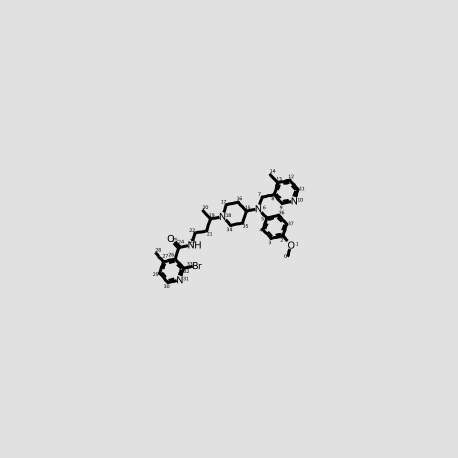 COc1ccc(N(Cc2cnccc2C)C2CCN(C(C)CCNC(=O)c3c(C)ccnc3Br)CC2)cc1